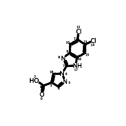 O=C(O)c1cnn(-c2nc3cc(Cl)c(Cl)cc3[nH]2)c1